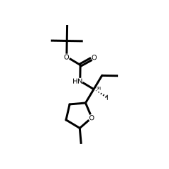 CC[C@](I)(NC(=O)OC(C)(C)C)C1CCC(C)O1